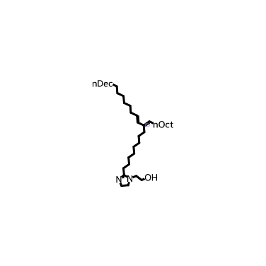 CCCCCCCC/C=C(/C=CCCCCCCCCCCCCCCCC)CCCCCCCCC1=NCCN1CCO